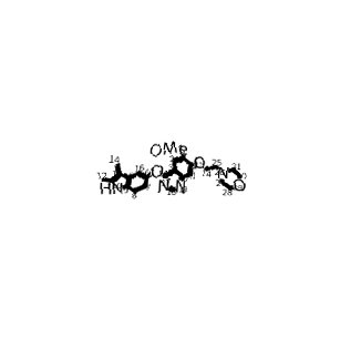 COc1cc2c(Oc3ccc4[nH]c(C)c(C)c4c3)ncnc2cc1OCCN1CCOCC1